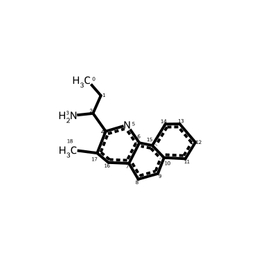 CCC(N)c1nc2c(ccc3ccccc32)cc1C